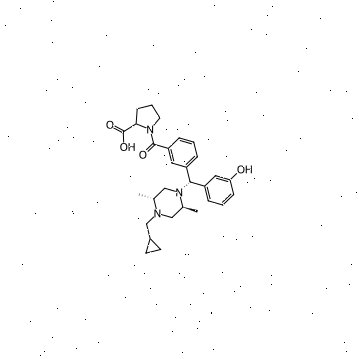 C[C@@H]1CN([C@@H](c2cccc(O)c2)c2cccc(C(=O)N3CCCC3C(=O)O)c2)[C@@H](C)CN1CC1CC1